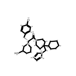 NC1CCCN([C@H](Cc2ccc(Cl)cc2)C(=O)N2CCC(Cn3cncn3)(C3CCCCC3)CC2)C1